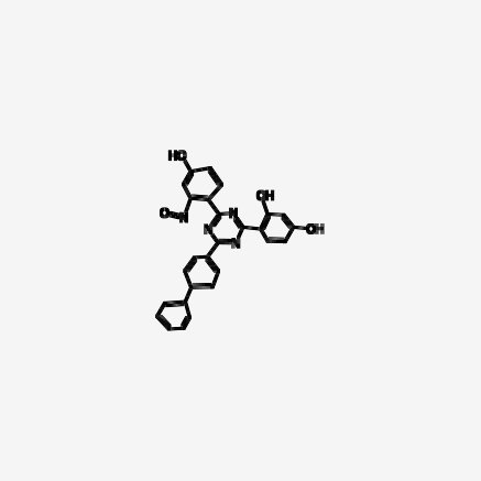 O=Nc1cc(O)ccc1-c1nc(-c2ccc(-c3ccccc3)cc2)nc(-c2ccc(O)cc2O)n1